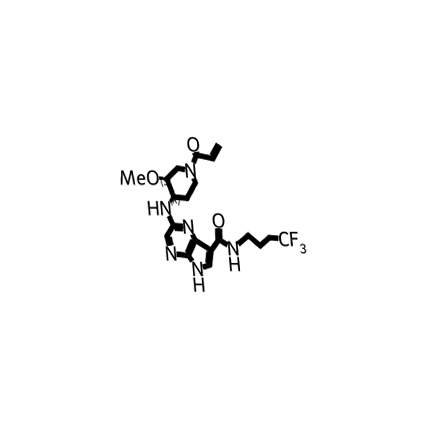 C=CC(=O)N1CC[C@@H](Nc2cnc3[nH]cc(C(=O)NCCCC(F)(F)F)c3n2)[C@@H](OC)C1